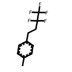 Cc1ccc(CCC(F)(F)C(F)(F)F)cc1